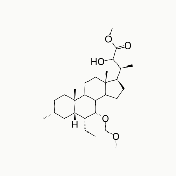 CC[C@H]1[C@@H](OCOC)C2C3CC[C@H]([C@H](C)C(O)C(=O)OC)[C@@]3(C)CCC2[C@@]2(C)CC[C@@H](C)C[C@@H]12